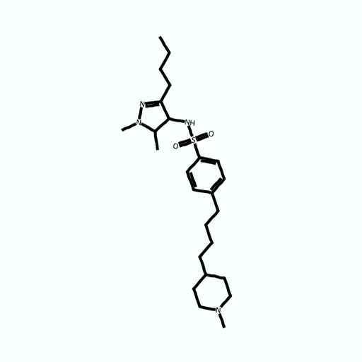 CCCCC1=NN(C)C(C)C1NS(=O)(=O)c1ccc(CCCCC2CCN(C)CC2)cc1